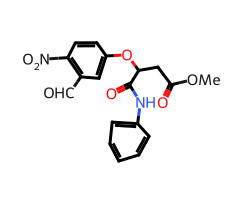 COC(=O)CC(Oc1ccc([N+](=O)[O-])c(C=O)c1)C(=O)Nc1ccccc1